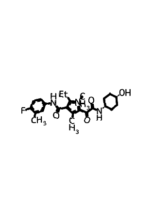 CCc1c(C(=O)Nc2ccc(F)c(C)c2)c(C)c(C(=O)C(=O)N[C@H]2CC[C@@H](O)CC2)n1C